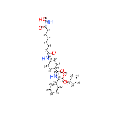 O=C(CCCCCCC(=O)Nc1ccc(C(=O)NC(C(=O)OC2CCCC2)c2ccccc2)cc1)NO